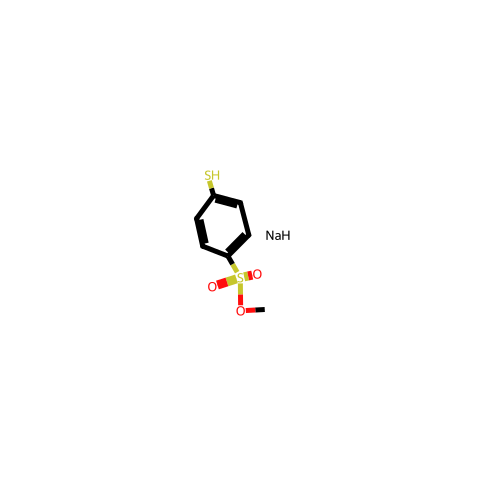 COS(=O)(=O)c1ccc(S)cc1.[NaH]